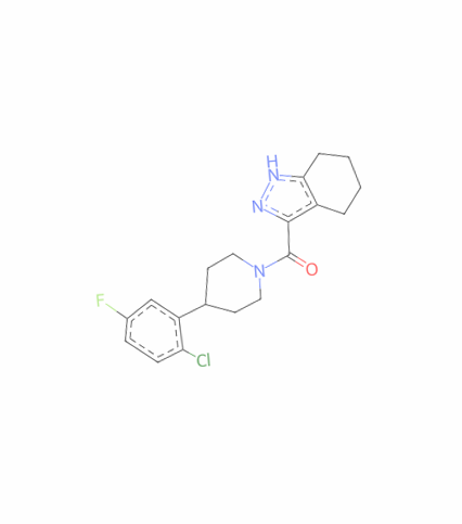 O=C(c1n[nH]c2c1CCCC2)N1CCC(c2cc(F)ccc2Cl)CC1